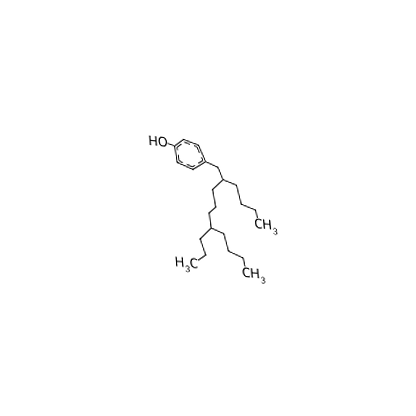 CCCCC(CCC)CCCC(CCCC)Cc1ccc(O)cc1